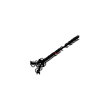 C=C=C=C=C=C=C=C=C=C=C=C=C=C=C=C=C=C=C=C=C=C=C=C=C=C=C=C=C=C=C=C=C=C=C=C(N(CCC(=O)OCCC(=O)N(C)C)C(=O)C(=C)C)N(CCC(=O)OCCC(=O)N(C)C)C(=O)C(=C)C